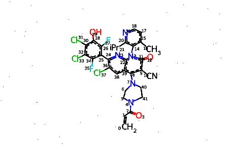 C=CC(=O)N1CCN(c2c(C#N)c(=O)n(-c3c(C)ccnc3C(C)C)c3nc(-c4c(F)c(O)c(Cl)c(Cl)c4F)c(Cl)cc23)CC1